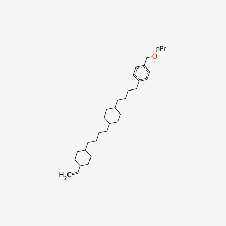 C=CC1CCC(CCCCC2CCC(CCCCc3ccc(COCCC)cc3)CC2)CC1